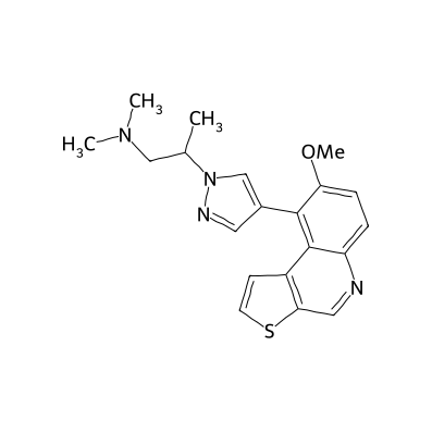 COc1ccc2ncc3sccc3c2c1-c1cnn(C(C)CN(C)C)c1